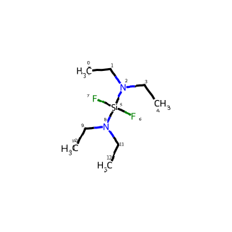 CCN(CC)[Si](F)(F)N(CC)CC